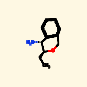 CC[C@@H]1OCc2ccccc2[C@H]1N